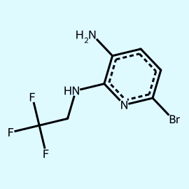 Nc1ccc(Br)nc1NCC(F)(F)F